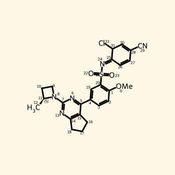 COc1ccc(-c2nc(N3CC[C@@H]3C)nc3c2CCC3)cc1S(=O)(=O)N=C1C=CC(C#N)=CC1Cl